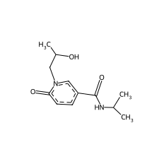 CC(O)Cn1cc(C(=O)NC(C)C)ccc1=O